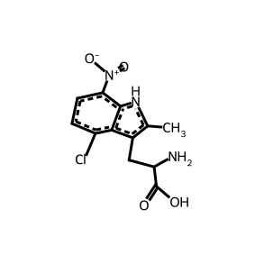 Cc1[nH]c2c([N+](=O)[O-])ccc(Cl)c2c1CC(N)C(=O)O